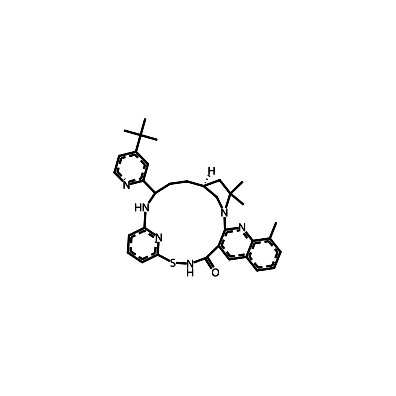 Cc1cccc2cc3c(nc12)N1C[C@@H](CCC(c2cc(C(C)(C)C)ccn2)Nc2cccc(n2)SNC3=O)CC1(C)C